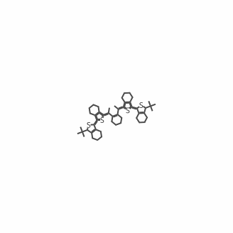 C/C(C1=C(/C(C)=c2\s/c(=C3/SC(C(C)(C)C)C4=C3CCCC4)c3c2CCCC3)CCCC1)=c1/s/c(=C2/SC(C(C)(C)C)C3=C2CCCC3)c2c1CCCC2